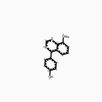 COc1cccc2c(-c3ccc(O)cc3)ncnc12